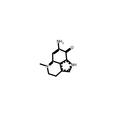 C[N+]1=C2C=C(N)C(=O)c3[nH]cc(c32)CC1